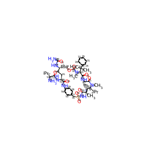 C/C(=C\[C@H](C(C)C)N(C)C(=O)[C@@H](NC(=O)[C@@H](N(C)C(=O)OC(C)(C)C)C(C)(C)c1ccccc1)C(C)(C)C)C(=O)NS(=O)(=O)Cc1ccc(NC(=O)[C@H](CCCNC(N)=O)NC(=O)[C@@H](N)C(C)C)cc1